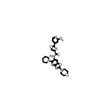 COc1cc(-c2nc(C(=O)Nc3cc4oc(N5CCOCC5)nc4nc3N3CCCCC3)co2)ccn1